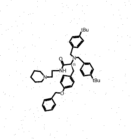 CC(C)(C)c1ccc(CN(Cc2ccc(C(C)(C)C)cc2)[C@@H](Cc2ccc(OCc3ccccc3)cc2)C(=O)NCCN2CCCCC2)cc1